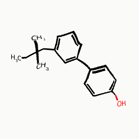 CC(C)(C)c1cccc(-c2ccc(O)cc2)c1